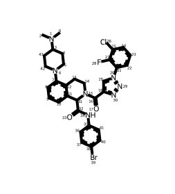 CN(C)C1CCN(c2cccc3c2CCN(C(=O)c2cn(-c4cccc(Cl)c4F)nn2)C3C(=O)Nc2ccc(Br)cc2)CC1